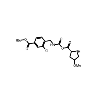 COC1CN[C@H](C(=O)OC(=O)NCc2ccc(C(=O)OC(C)(C)C)cc2Cl)C1